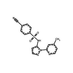 Cc1ccnc(-n2nccc2NS(=O)(=O)c2ccc(C#N)cc2)c1